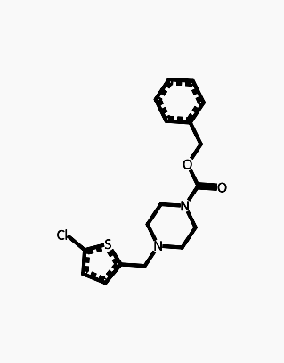 O=C(OCc1ccccc1)N1CCN(Cc2ccc(Cl)s2)CC1